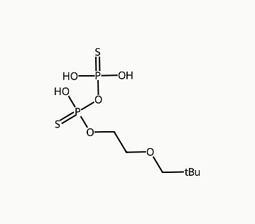 CC(C)(C)COCCOP(O)(=S)OP(O)(O)=S